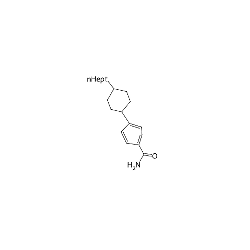 CCCCCCCC1CCC(c2ccc(C(N)=O)cc2)CC1